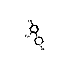 CC(=O)N1CCN(c2ccc(N)cc2C(F)(F)F)CC1